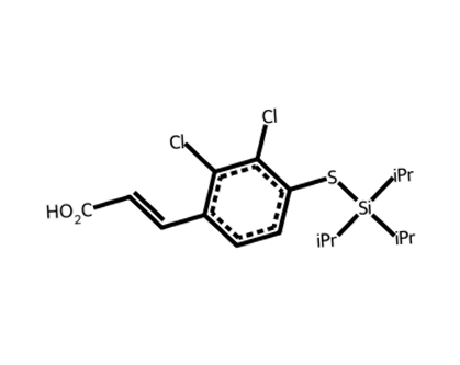 CC(C)[Si](Sc1ccc(C=CC(=O)O)c(Cl)c1Cl)(C(C)C)C(C)C